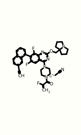 C#Cc1ccc2cccc(-c3c(F)cc4c(N5CCN(C(=O)C(=C)F)[C@@H](CC#N)C5)nc(OCC56CCCN5CCC6)nc4c3F)c2c1